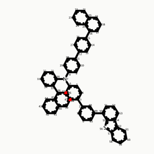 c1cc(-c2ccc(N(c3ccc(-c4ccc(-c5cccc6ccccc56)cc4)cc3)c3ccccc3-c3cccc4ccccc34)cc2)cc(-c2cccc3c2sc2ccccc23)c1